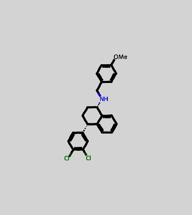 COc1ccc(CN[C@H]2CC[C@@H](c3ccc(Cl)c(Cl)c3)c3ccccc32)cc1